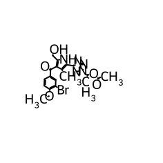 COc1ccc(C(=O)c2c(CO)[nH]c(-c3nnn(C(C)OC(C)=O)n3)c2C)cc1Br